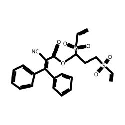 C=CS(=O)(=O)CCC(OC(=O)C(C#N)=C(c1ccccc1)c1ccccc1)S(=O)(=O)C=C